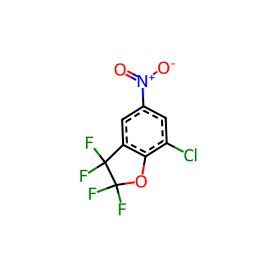 O=[N+]([O-])c1cc(Cl)c2c(c1)C(F)(F)C(F)(F)O2